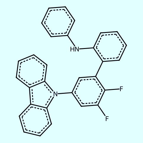 Fc1cc(-n2c3ccccc3c3ccccc32)cc(-c2ccccc2Nc2ccccc2)c1F